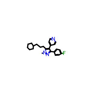 Cn1nc(-c2ccc(F)cc2)c(-c2ccncc2)c1CCCC1CCCCC1